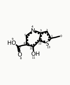 Cc1cc2ncc(C(=O)O)c(O)c2s1